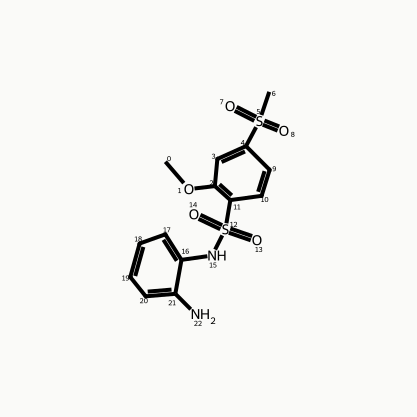 COc1cc(S(C)(=O)=O)ccc1S(=O)(=O)Nc1ccccc1N